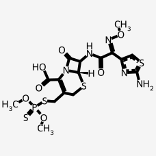 CON=C(C(=O)NC1C(=O)N2C(C(=O)O)=C(CSP(=S)(OC)OC)CS[C@@H]12)c1csc(N)n1